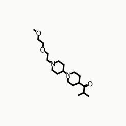 COCCOCCN1CCC(N2CCC(C(=O)C(C)C)CC2)CC1